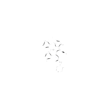 Cc1cc(C)c2c(C#N)c(/C=C/C(=O)NC3CCOCC3)n(C(c3ccc(F)cc3)c3ccc(F)cc3)c2n1